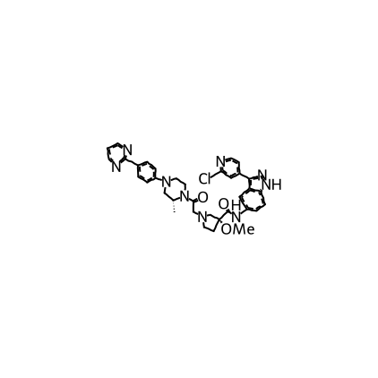 CO[C@@]1(C(=O)Nc2ccc3[nH]nc(-c4ccnc(Cl)c4)c3c2)CCN(CC(=O)N2CCN(c3ccc(-c4ncccn4)cc3)C[C@H]2C)C1